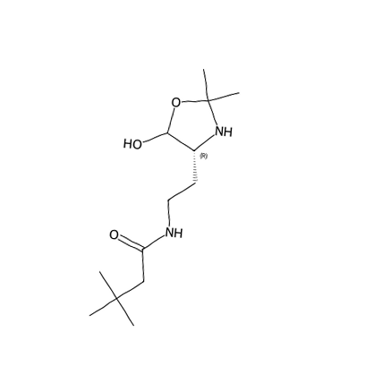 CC(C)(C)CC(=O)NCC[C@H]1NC(C)(C)OC1O